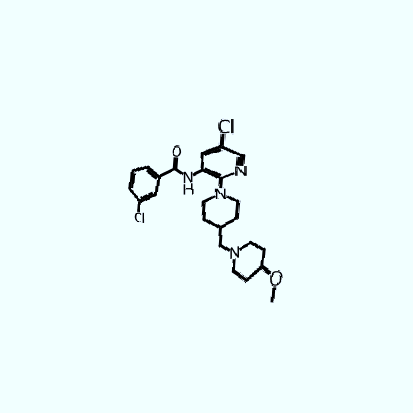 COC1CCN(CC2CCN(c3ncc(Cl)cc3NC(=O)c3cccc(Cl)c3)CC2)CC1